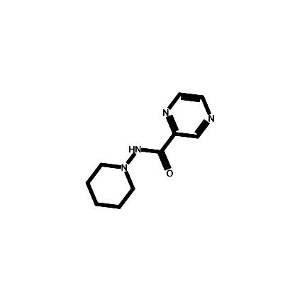 O=C(NN1CCCCC1)c1cnccn1